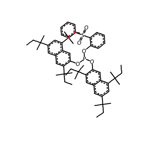 CCC(C)(C)c1cc(C(C)(C)CC)c2cc(OP(Oc3cc4c(C(C)(C)CC)cc(C(C)(C)CC)cc4cc3C(C)(C)CC)Oc3ccccc3S(=O)(=O)c3ccccc3)c(C(C)(C)CC)cc2c1